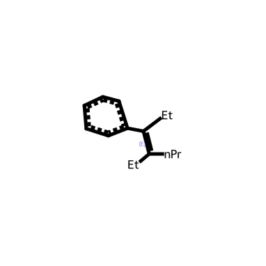 CCC/C(CC)=C(\CC)c1ccccc1